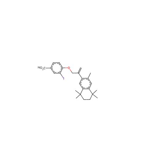 C=C(COc1ccc(C(=O)O)cc1I)c1cc2c(cc1C)C(C)(C)CCC2(C)C